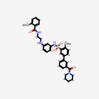 COc1ccccc1C(=O)NCCNc1cccc(NS(=O)(=O)c2cc(-c3cccc(C(=O)N4CCCCC4)c3)ccc2OC)c1